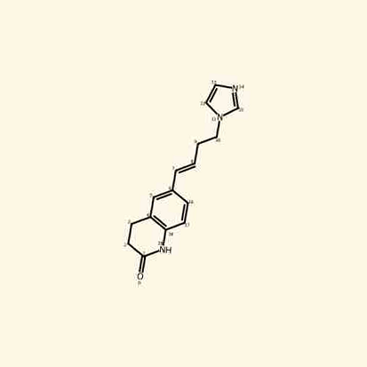 O=C1CCc2cc(C=CCCn3ccnc3)ccc2N1